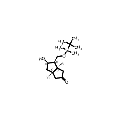 CC(C)(C)[Si](C)(C)OC[C@H]1[C@H]2CC(=O)C[C@H]2C[C@H]1O